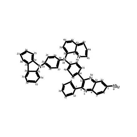 CC(C)(C)c1ccc2nc(-c3ccccc3)c(-c3ccc(N(c4ccc(-n5c6ccccc6c6ccccc65)cc4)c4cccc5cccnc45)cc3)nc2c1